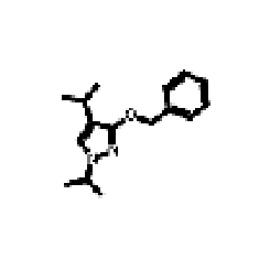 CC(C)c1cn(C(C)C)nc1OCc1ccccc1